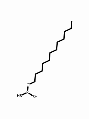 CCCCCCCCCCCCOP(S)S